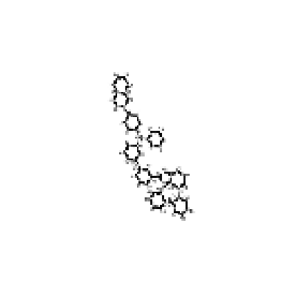 c1ccc(N(c2ccc(-c3ccc4ccccc4c3)cc2)c2cccc(-c3cccc(-c4nc5cccc6c5n4-c4ccccc4-c4ccccc4-6)c3)c2)cc1